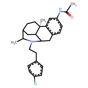 CC(=O)Nc1ccc2c(c1)[C@]1(C)CCC3CC1C(C2)N(CCc1ccc(Cl)cc1)C3C